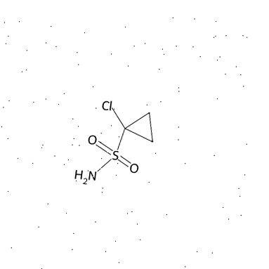 NS(=O)(=O)C1(Cl)CC1